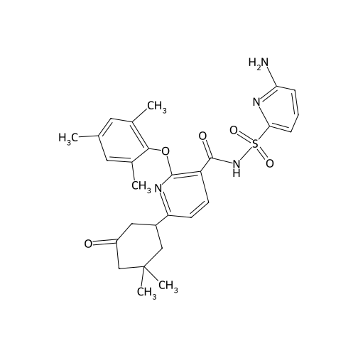 Cc1cc(C)c(Oc2nc(C3CC(=O)CC(C)(C)C3)ccc2C(=O)NS(=O)(=O)c2cccc(N)n2)c(C)c1